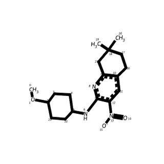 COC1CCC(Nc2nc3c(cc2[N+](=O)[O-])CCC(C)(C)C3)CC1